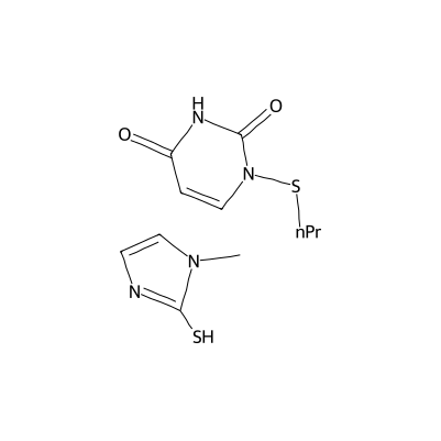 CCCSn1ccc(=O)[nH]c1=O.Cn1ccnc1S